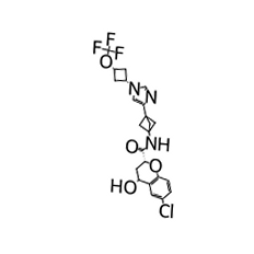 O=C(NC12CC(c3cn([C@H]4C[C@@H](OC(F)(F)F)C4)cn3)(C1)C2)[C@H]1C[C@@H](O)c2cc(Cl)ccc2O1